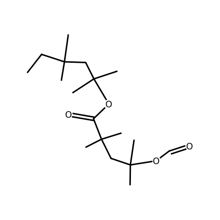 CCC(C)(C)CC(C)(C)OC(=O)C(C)(C)CC(C)(C)OC=O